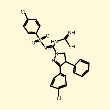 N=C(S)N/C(=N\S(=O)(=O)c1ccc(Cl)cc1)N1CC(c2ccccc2)C(c2ccc(Cl)cc2)=N1